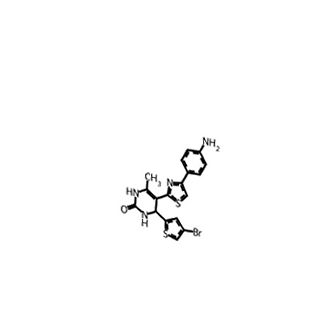 CC1=C(c2nc(-c3ccc(N)cc3)cs2)C(c2cc(Br)cs2)NC(=O)N1